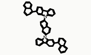 C1=C(c2cccc3ccccc23)CCc2c1n(-c1ccc3cc(-n4c5ccccc5c5ccc(-c6cccc7ccccc67)cc54)ccc3c1)c1ccccc21